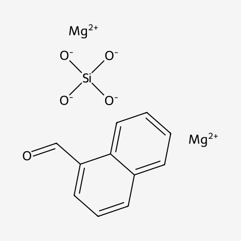 O=Cc1cccc2ccccc12.[Mg+2].[Mg+2].[O-][Si]([O-])([O-])[O-]